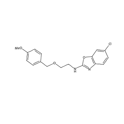 COc1ccc(COCCNc2nc3ccc(Cl)cc3o2)cc1